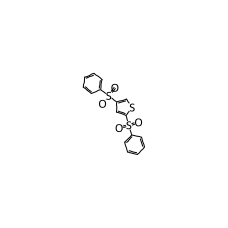 O=S(=O)(c1ccccc1)c1csc(S(=O)(=O)c2ccccc2)c1